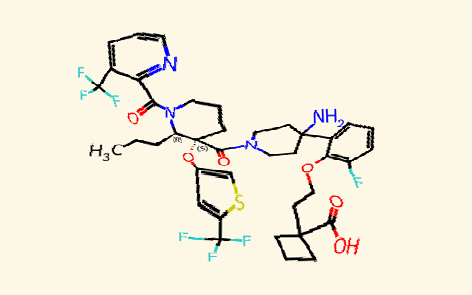 CCC[C@H]1N(C(=O)c2ncccc2C(F)(F)F)CCC[C@@]1(Oc1csc(C(F)(F)F)c1)C(=O)N1CCC(N)(c2cccc(F)c2OCCC2(C(=O)O)CCC2)CC1